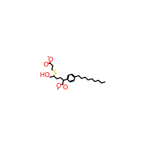 CCCCCCCCCc1ccc(C(CCC(CO)SCCC(=O)OC)C(=O)OC)cc1